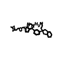 C[Si](C)(C)CCOCn1ccc2c(-c3cccc(C4(CCN)Cc5ccccc5C4)c3)ncnc21